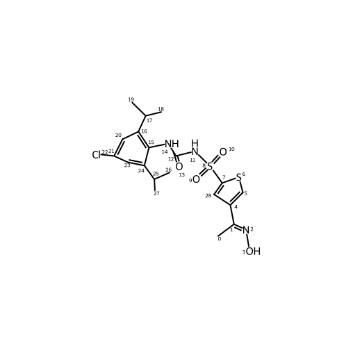 C/C(=N\O)c1csc(S(=O)(=O)NC(=O)Nc2c(C(C)C)cc(Cl)cc2C(C)C)c1